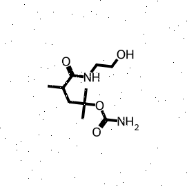 CC(CC(C)(C)OC(N)=O)C(=O)NCCO